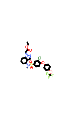 CCOC(=O)Cn1ncc2c1CCCC2N(C)S(=O)(=O)c1ccc(Oc2ccc(OC(F)(F)F)cc2)c(Cl)c1